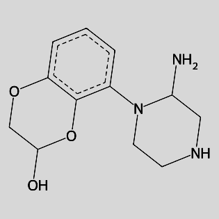 NC1CNCCN1c1cccc2c1OC(O)CO2